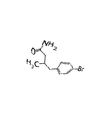 CC(CC(N)=O)Cc1ccc(Br)cc1